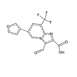 O=Cc1c(C(=O)O)nc2c(C(F)(F)F)cc(-c3ccoc3)cn12